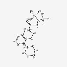 O=C(OC(C(F)(F)F)C(F)(F)F)N1CCc2c(cccc2N2CCOCC2)C1